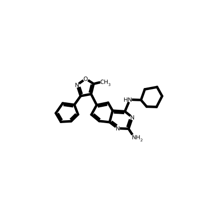 Cc1onc(-c2ccccc2)c1-c1ccc2nc(N)nc(NC3CCCCC3)c2c1